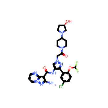 Nc1nn2cccnc2c1C(=O)Nc1cn(CC(=O)N2CCC(N3CC[C@@H](O)C3)CC2)nc1-c1cc(Cl)ccc1OC(F)F